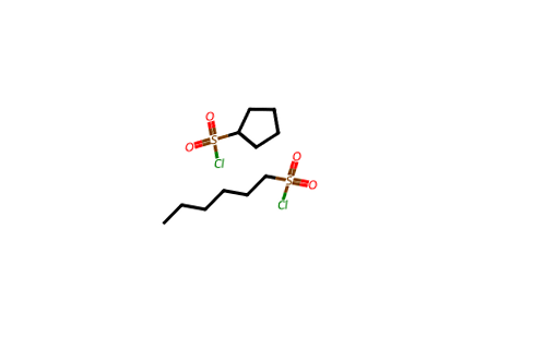 CCCCCCS(=O)(=O)Cl.O=S(=O)(Cl)C1CCCC1